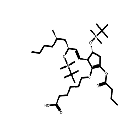 CCCC[C@@H](C)C[C@@H](C=C[C@@H]1C(SCCCCCC(=O)O)=C(OC(=O)CCC)C[C@H]1O[Si](C)(C)C(C)(C)C)O[Si](C)(C)C(C)(C)C